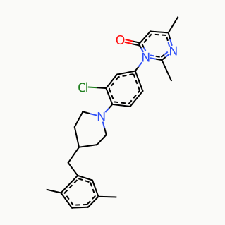 Cc1ccc(C)c(CC2CCN(c3ccc(-n4c(C)nc(C)cc4=O)cc3Cl)CC2)c1